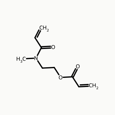 C=CC(=O)OCCN(C)C(=O)C=C